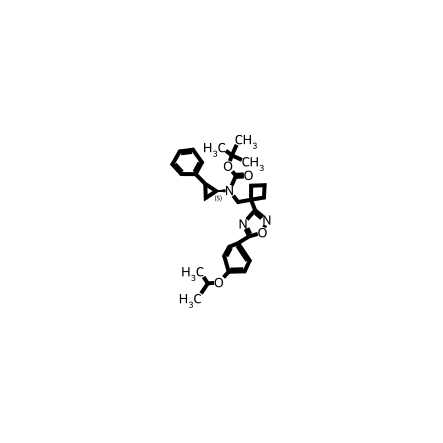 CC(C)Oc1ccc(-c2nc(C3(CN(C(=O)OC(C)(C)C)[C@H]4CC4c4ccccc4)CCC3)no2)cc1